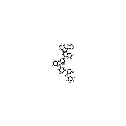 c1ccc(-n2c3ccncc3c3cc(-c4ccc5c(c4)c4ccccc4n5-c4cccc(-c5cccc6c5oc5ccccc56)c4)c4ccccc4c32)cc1